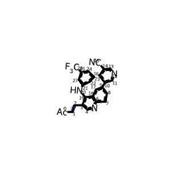 CC(=O)/C=C/c1cnc2ccc(-c3cncc(C#N)c3)cc2c1Nc1cccc(C(F)(F)F)c1